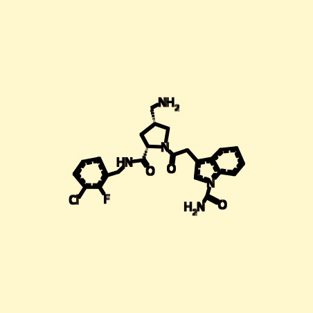 NC[C@H]1C[C@@H](C(=O)NCc2cccc(Cl)c2F)N(C(=O)Cc2cn(C(N)=O)c3ccccc23)C1